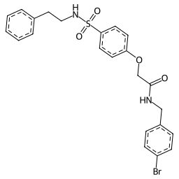 O=C(COc1ccc(S(=O)(=O)NCCc2ccccc2)cc1)NCc1ccc(Br)cc1